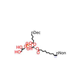 CCCCCCCCC/C=C\CCCCCCCC(=O)OC[C@H](COP(=O)(O)OC[C@@H](O)CO)OC(=O)CCCCCCCCCCCCCC